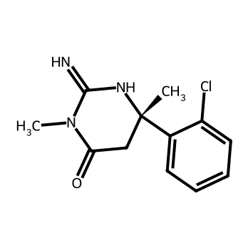 CN1C(=N)N[C@](C)(c2ccccc2Cl)CC1=O